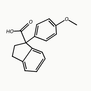 COc1ccc(C2(C(=O)O)CCc3ccccc32)cc1